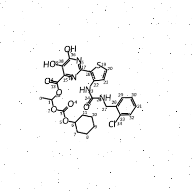 CC(OC(=O)OC1CCCCC1)OC(=O)c1nc(-c2sccc2NC(=O)NCc2ccccc2Cl)nc(O)c1O